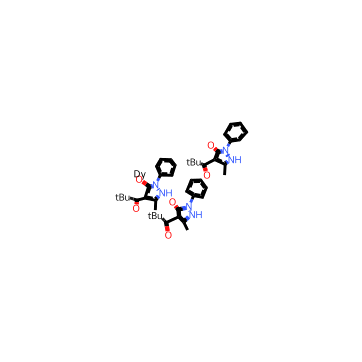 Cc1[nH]n(-c2ccccc2)c(=O)c1C(=O)C(C)(C)C.Cc1[nH]n(-c2ccccc2)c(=O)c1C(=O)C(C)(C)C.Cc1[nH]n(-c2ccccc2)c(=O)c1C(=O)C(C)(C)C.[Dy]